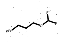 C[CH]CCCCOC(F)F